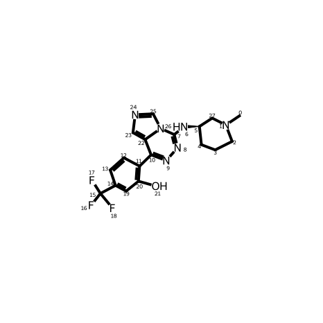 CN1CCC[C@@H](Nc2nnc(-c3ccc(C(F)(F)F)cc3O)c3cncn23)C1